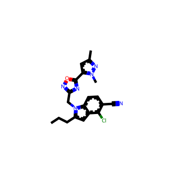 CCCc1cc2c(Cl)c(C#N)ccc2n1Cc1noc(-c2cc(C)nn2C)n1